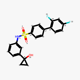 O=S(=O)(Nc1cccc(C2(O)CC2)c1)c1ccc(-c2ccc(F)cc2F)cc1